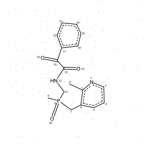 Cc1ncccc1CP(C)(=O)CNC(=O)C(=O)c1ccccc1